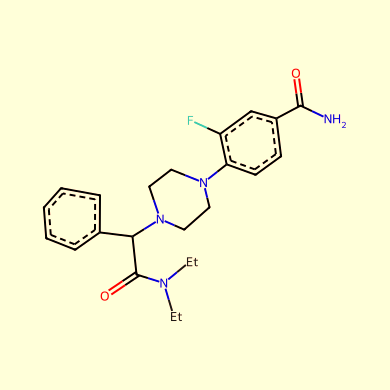 CCN(CC)C(=O)C(c1ccccc1)N1CCN(c2ccc(C(N)=O)cc2F)CC1